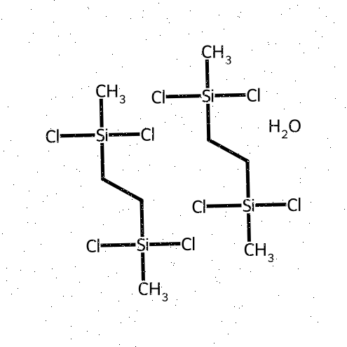 C[Si](Cl)(Cl)CC[Si](C)(Cl)Cl.C[Si](Cl)(Cl)CC[Si](C)(Cl)Cl.O